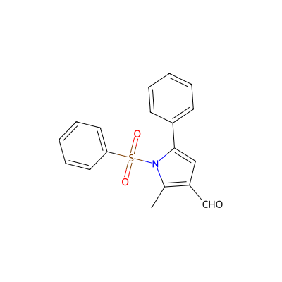 Cc1c(C=O)cc(-c2ccccc2)n1S(=O)(=O)c1ccccc1